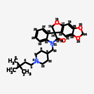 CC(C)(C)CCN1CCC(CN2C(=O)C3(COc4cc5c(cc43)OCO5)c3ccccc32)CC1